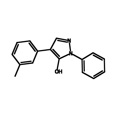 Cc1cccc(-c2cnn(-c3ccccc3)c2O)c1